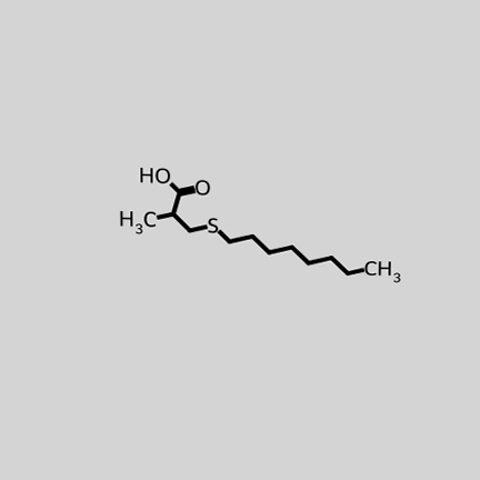 CCCCCCCCSCC(C)C(=O)O